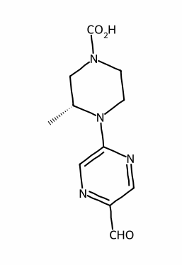 C[C@@H]1CN(C(=O)O)CCN1c1cnc(C=O)cn1